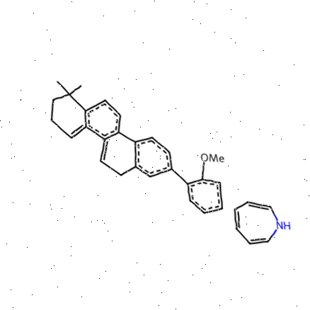 C1=CC=CNC=C1.COc1ccccc1-c1ccc2c(c1)CC=c1c-2ccc2c1=CCCC2(C)C